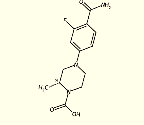 C[C@@H]1CN(c2ccc(C(N)=O)c(F)c2)CCN1C(=O)O